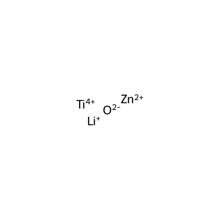 [Li+].[O-2].[Ti+4].[Zn+2]